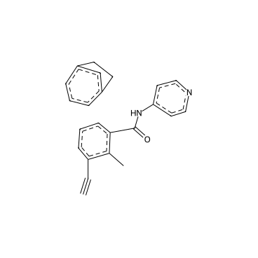 C#Cc1cccc(C(=O)Nc2ccncc2)c1C.c1cc2cc(c1)CC2